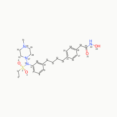 CCS(=O)(=O)N(c1cccc(CCCCc2ccc(CC(=O)NO)cc2)c1)N1CCN(C)CC1